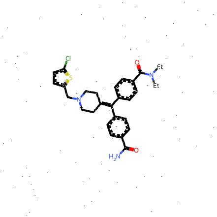 CCN(CC)C(=O)c1ccc(C(=C2CCN(Cc3ccc(Cl)s3)CC2)c2ccc(C(N)=O)cc2)cc1